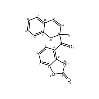 CC1(C(=O)c2cccc3oc(=O)[nH]c23)C=Cc2ccccc2C1